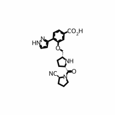 N#C[C@@H]1CCCN1C(=O)[C@@H]1CC[C@H](COc2cc(C(=O)O)ccc2-c2cc[nH]n2)N1